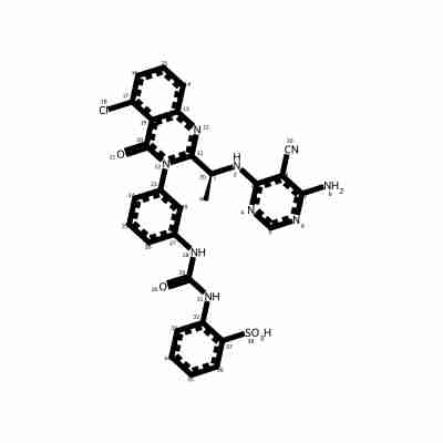 C[C@H](Nc1ncnc(N)c1C#N)c1nc2cccc(Cl)c2c(=O)n1-c1cccc(NC(=O)Nc2ccccc2S(=O)(=O)O)c1